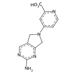 Nc1ncc2c(n1)CN(c1ccnc(C(=O)O)c1)C2